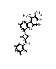 CC(=N)/C(C)=C1\C(=N)Sc2c1ncnc2N1CC(Nc2ccnc(F)c2F)C1